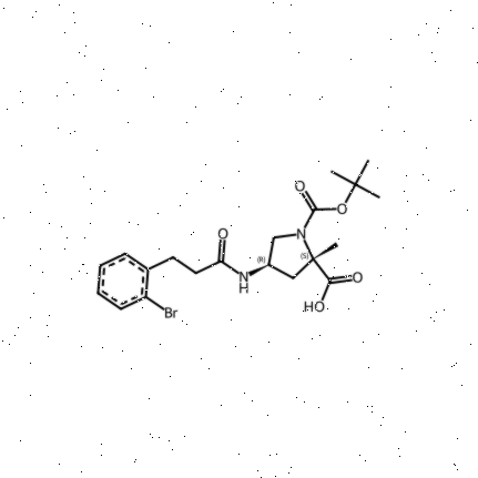 CC(C)(C)OC(=O)N1C[C@H](NC(=O)CCc2ccccc2Br)C[C@@]1(C)C(=O)O